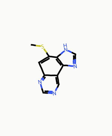 CSc1cc2ncncc2c2nc[nH]c12